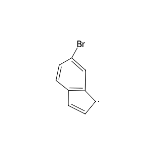 Brc1ccc2c(c1)[CH]C=C2